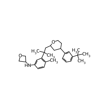 Cc1ccc(NC2COC2)cc1C(C)(C)CC1CC(c2cccc(C(C)(C)C)c2)CCO1